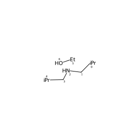 CC(C)CNCC(C)C.CCO